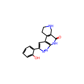 O=c1[nH]c2nnc(-c3ccccc3O)cc2c2c1CNCC2